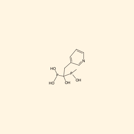 CP(O)C(O)(Cc1cccnc1)P(O)O